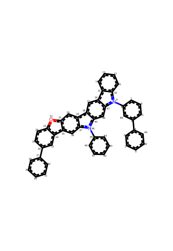 c1ccc(-c2cccc(-n3c4ccccc4c4cc5c6cc7oc8ccc(-c9ccccc9)cc8c7cc6n(-c6ccccc6)c5cc43)c2)cc1